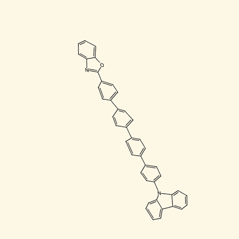 c1ccc2oc(-c3ccc(-c4ccc(-c5ccc(-c6ccc(-n7c8ccccc8c8ccccc87)cc6)cc5)cc4)cc3)nc2c1